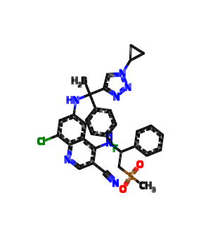 BC(Nc1cc(Cl)c2ncc(C#N)c(NC(CS(C)(=O)=O)c3ccccc3)c2c1)(c1ccc(F)cc1)c1cn(C2CC2)nn1